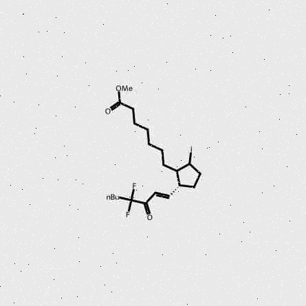 CCCCC(F)(F)C(=O)/C=C/[C@H]1CCC(I)C1CCCCCCC(=O)OC